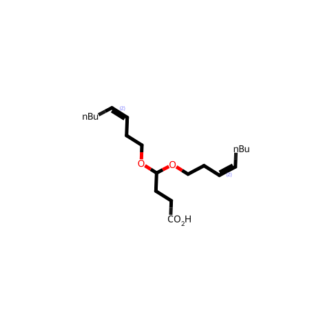 CCCC/C=C\CCOC(CCC(=O)O)OCC/C=C\CCCC